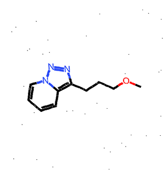 COCCCc1nnn2ccccc12